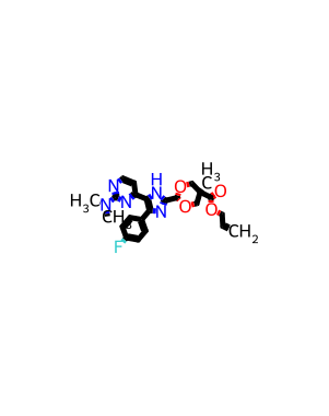 C=CCOC(=O)C1(C)COC(c2nc(-c3ccc(F)cc3)c(-c3ccnc(N(C)C)n3)[nH]2)OC1